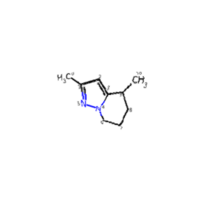 Cc1cc2n(n1)CCCC2C